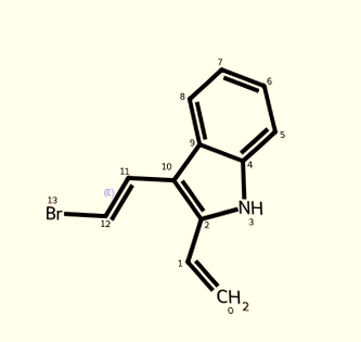 C=Cc1[nH]c2ccccc2c1/C=C/Br